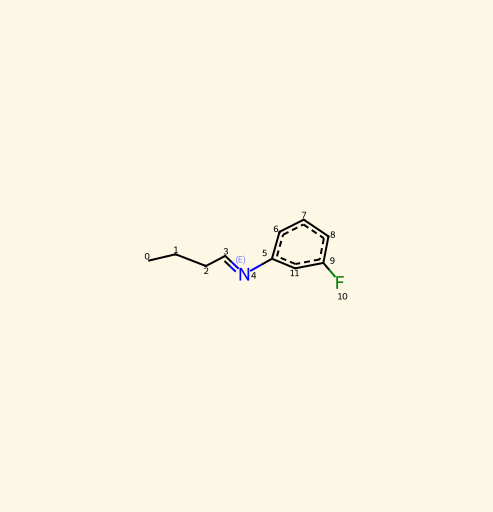 CCC/C=N/c1cccc(F)c1